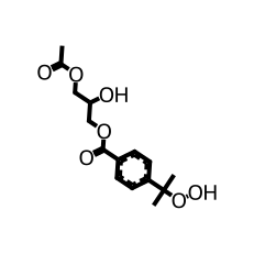 CC(=O)OCC(O)COC(=O)c1ccc(C(C)(C)OO)cc1